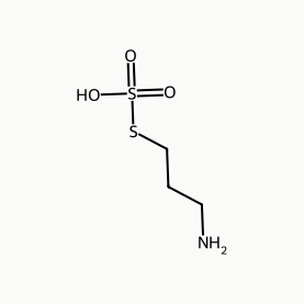 NCCCSS(=O)(=O)O